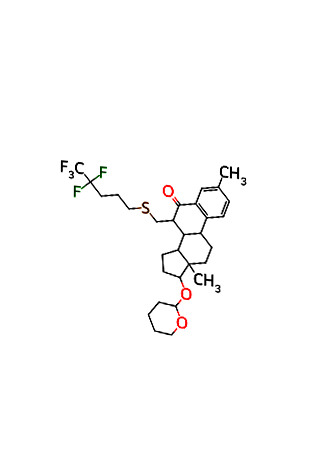 Cc1ccc2c(c1)C(=O)C(CSCCCC(F)(F)C(F)(F)F)C1C2CCC2(C)C(OC3CCCCO3)CCC12